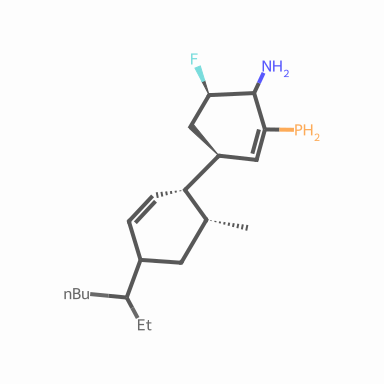 CCCCC(CC)C1C=C[C@H]([C@@H]2C=C(P)C(N)[C@H](F)C2)[C@H](C)C1